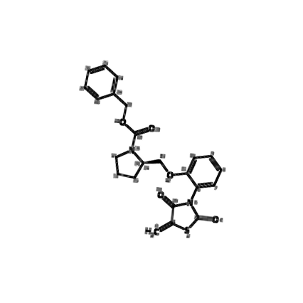 C=C1SC(=O)N(c2ccccc2OC[C@H]2CCCN2C(=O)OCc2ccccc2)C1=O